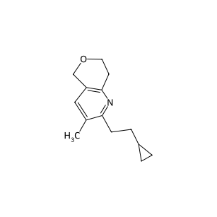 Cc1cc2c(nc1CCC1CC1)CCOC2